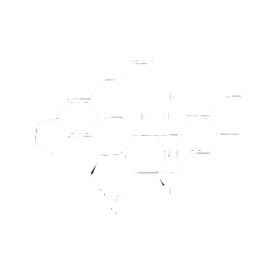 C=CCOc1c(C)c2c(c3c1C[C@H]1[C@@H]4N[C@H](Cc5cc(C)c(OC)c(O)c54)[C@H](C#N)N1[C@H]3CN)OCO2